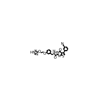 N#Cc1cccc(-c2csc3nc(C(=O)NCc4cccc(OCCOc5nc[nH]n5)c4)[nH]c(=O)c23)c1